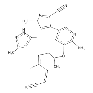 C#C/C=C\C(F)=C/CC(C)Oc1cc(C2=C(Cc3cc(C)n[nH]3)C(C)N=C2C#N)cnc1N